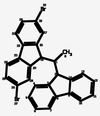 CC(C1c2ccccc2-c2ccccc21)C1c2cc(Br)ccc2-c2ccc(Br)cc21